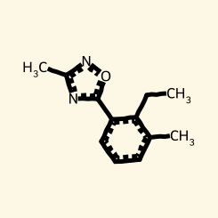 CCc1c(C)cccc1-c1nc(C)no1